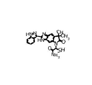 CC1(C)C(=O)N(C(S)C(N)=O)c2cc3[nH]c(-c4n[nH]c5ccccc45)nc3cc21